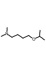 CC(C)OCCCCN(C)C